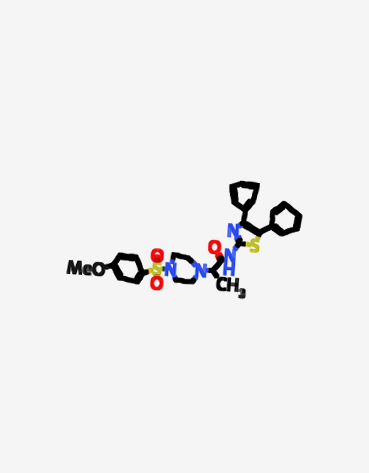 COc1ccc(S(=O)(=O)N2CCN(C(C)C(=O)Nc3nc(-c4ccccc4)c(-c4ccccc4)s3)CC2)cc1